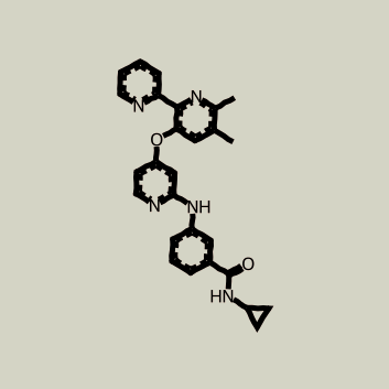 Cc1cc(Oc2ccnc(Nc3cccc(C(=O)NC4CC4)c3)c2)c(-c2ccccn2)nc1C